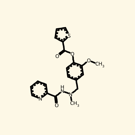 COc1cc(CN(C)NC(=O)c2ccccn2)ccc1OC(=O)c1cccs1